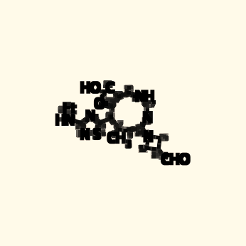 CCNc1nsc(-c2c(C)cc(N3CC(C=O)C3)nc[nH]cc(C(=O)O)c2=O)n1